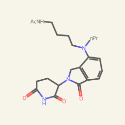 CCCN(CCCCNC(C)=O)c1cccc2c1CN(C1CCC(=O)NC1=O)C2=O